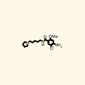 COc1cc(N)c(Cl)cc1C(=O)NCCCCCN1C[CH]CC1